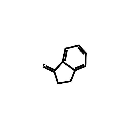 S=C1CCc2ccccc21